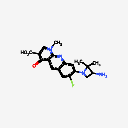 Cn1cc(C(=O)O)c(=O)c2cc3cc(F)c(N4CC(N)C4(C)C)cc3nc21